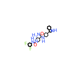 NC(=O)C(NC1CCC(c2c[nH]c3ccccc23)CC1)C1CCN(C(=O)Nc2cc(F)cc(F)c2)CC1